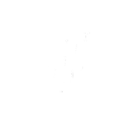 COC(=O)CSc1c(F)cc(Br)cc1F